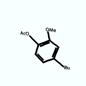 CCC(C)c1ccc(OC(C)=O)c(OC)c1